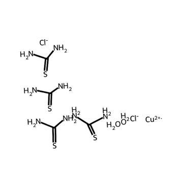 NC(N)=S.NC(N)=S.NC(N)=S.NC(N)=S.O.O.[Cl-].[Cl-].[Cu+2]